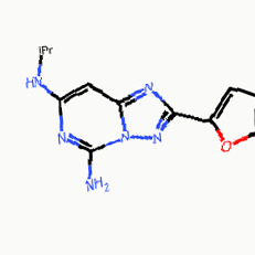 CC(C)Nc1cc2nc(-c3ccco3)nn2c(N)n1